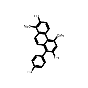 COc1c(O)ccc2c1ccc1c(-c3ccc(O)cc3)c(O)cc(OC)c12